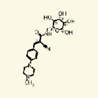 CN1CCN(c2ccc(/C=C(\C#N)C(=O)NC[C@H]3O[C@@H](O)[C@H](O)[C@@H](O)[C@@H]3O)cc2)CC1